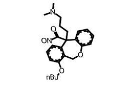 CCCCOc1cccc2c1COc1ccccc1C2(CCCN(C)C)C(=O)N=O